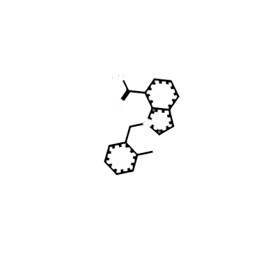 Cc1ccccc1Cn1ccc2cccc(C(=O)O)c21